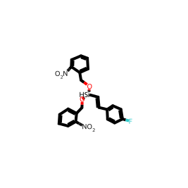 O=[N+]([O-])c1ccccc1CO[SiH](C=Cc1ccc(F)cc1)OCc1ccccc1[N+](=O)[O-]